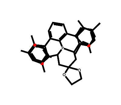 Cc1cc(C)c(C)c(-c2cccc(-c3c(C)c(C)cc(C)c3C)c2P2C(c3ccccc3)CC3(CC2c2ccccc2)OCCO3)c1C